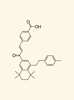 Cc1ccc(CCc2cc(C(=O)C=Cc3ccc(C(=O)O)cc3)cc3c2C(C)(C)CCC3(C)C)cc1